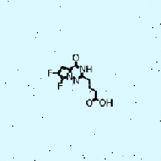 O=C(O)CCCc1nn2c(F)c(F)cc2c(=O)[nH]1